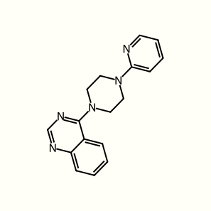 c1ccc(N2CCN(c3ncnc4ccccc34)CC2)nc1